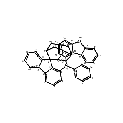 c1ccc(N(c2cccc3c2C2(c4ccccc4-3)C3CC4CC(C3)CC2C4)c2cccc3oc4ccccc4c23)cc1